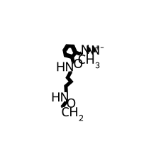 C=CC(=O)NCCCCCNC(=O)c1ccccc1C(C)N=[N+]=[N-]